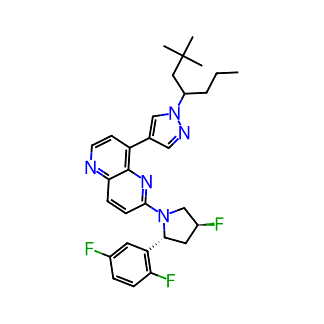 CCCC(CC(C)(C)C)n1cc(-c2ccnc3ccc(N4C[C@@H](F)C[C@@H]4c4cc(F)ccc4F)nc23)cn1